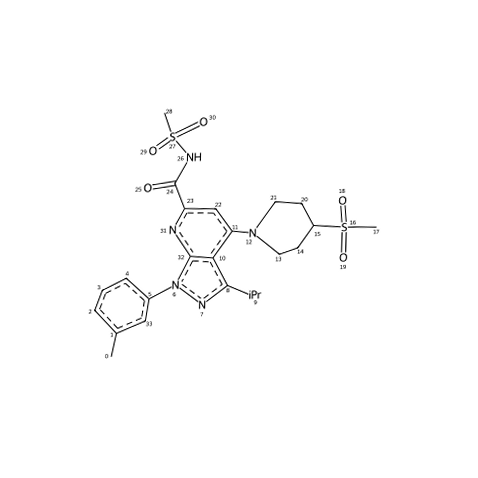 Cc1cccc(-n2nc(C(C)C)c3c(N4CCC(S(C)(=O)=O)CC4)cc(C(=O)NS(C)(=O)=O)nc32)c1